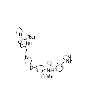 COc1cc(OC2CCN(CCC(=O)NC(C(=O)N3CCCC3C)C(C)(C)C)CC2)ccc1NC(=O)c1cccc(-c2ccn[nH]2)n1